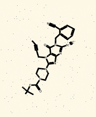 [C-]#[N+]c1nc2nc(N3CCN(C(=O)OC(C)(C)C)CC3)n(CC#CC)c2c(=O)n1Cc1ccccc1C#N